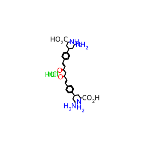 Cl.Cl.NCCC(CC(N)C(=O)O)c1ccc(C=CC(=O)CC(=O)C=Cc2ccc(C(CCN)CC(N)C(=O)O)cc2)cc1